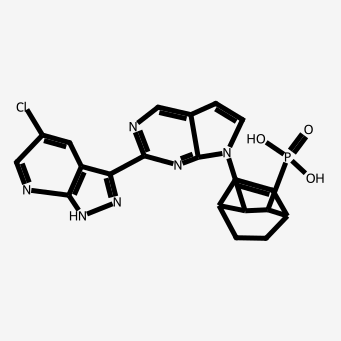 O=P(O)(O)C1C2C=CC(CC2)C1n1ccc2cnc(-c3n[nH]c4ncc(Cl)cc34)nc21